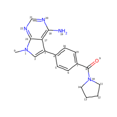 Cn1cc(-c2ccc(C(=O)N3CCCC3)cc2)c2c(N)ncnc21